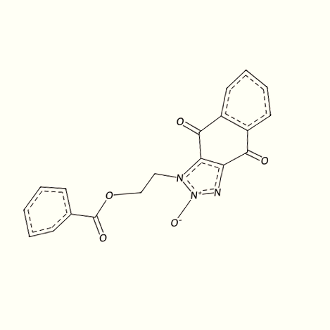 O=C(OCCn1c2c(n[n+]1[O-])C(=O)c1ccccc1C2=O)c1ccccc1